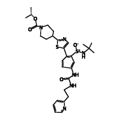 CC(C)OC(=O)N1CCC(c2ncc(-c3ccc(NC(=O)NCCc4ccccn4)cc3[S+]([O-])NC(C)(C)C)s2)CC1